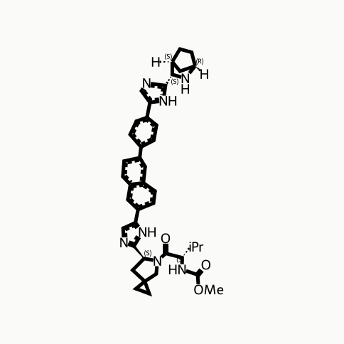 COC(=O)N[C@H](C(=O)N1CC2(CC2)C[C@H]1c1ncc(-c2ccc3cc(-c4ccc(-c5cnc([C@H]6N[C@@H]7CC[C@H]6C7)[nH]5)cc4)ccc3c2)[nH]1)C(C)C